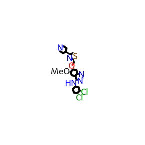 COc1cc2c(Nc3ccc(Cl)c(Cl)c3)ncnc2cc1OCc1nc(-c2ccncc2)cs1